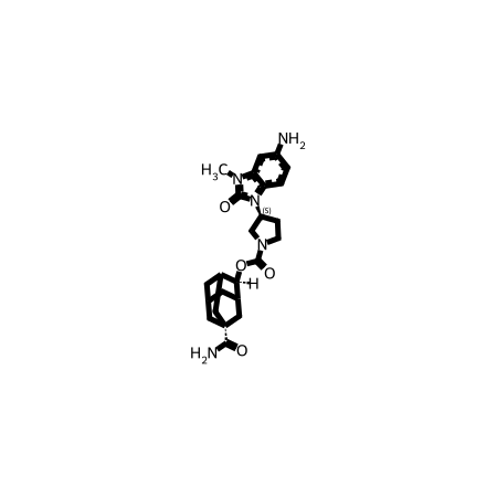 Cn1c(=O)n([C@H]2CCN(C(=O)O[C@H]3C4CC5CC3C[C@](C(N)=O)(C5)C4)C2)c2ccc(N)cc21